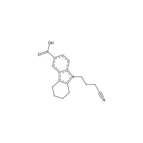 N#CCCCn1c2c(c3cc(C(=O)O)ccc31)CCCC2